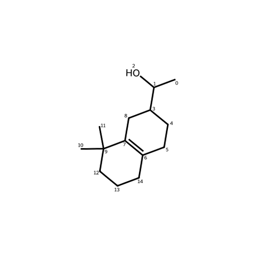 CC(O)C1CCC2=C(C1)C(C)(C)CCC2